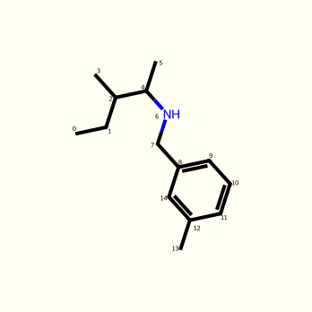 CCC(C)C(C)NCc1cccc(C)c1